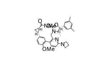 CNC(=O)[C@@H]1C[C@H]1c1ccc(OC)c(-c2ccc(N3CCC3)nc2CN2C(=O)O[C@H](c3cc(C)cc(C)c3)[C@@H]2C)c1